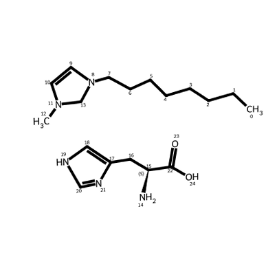 CCCCCCCCN1C=CN(C)C1.N[C@@H](Cc1c[nH]cn1)C(=O)O